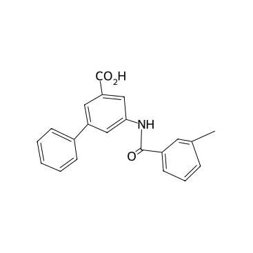 Cc1cccc(C(=O)Nc2cc(C(=O)O)cc(-c3ccccc3)c2)c1